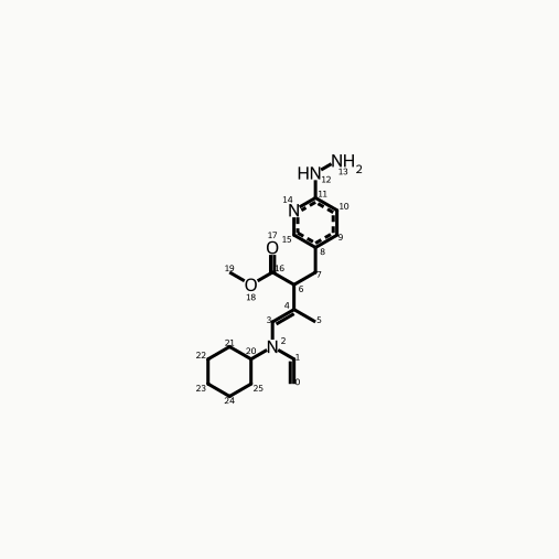 C=CN(/C=C(\C)C(Cc1ccc(NN)nc1)C(=O)OC)C1CCCCC1